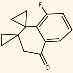 O=C1CC2(CC2)C2(CC2)c2c(F)cccc21